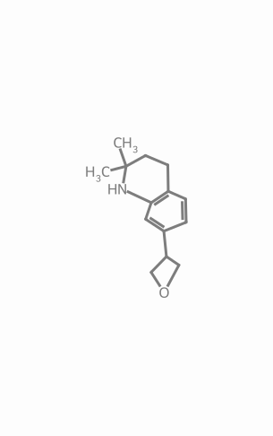 CC1(C)CCc2ccc(C3COC3)cc2N1